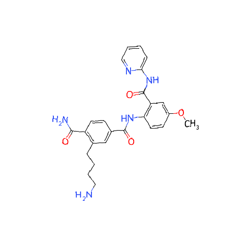 COc1ccc(NC(=O)c2ccc(C(N)=O)c(CCCCN)c2)c(C(=O)Nc2ccccn2)c1